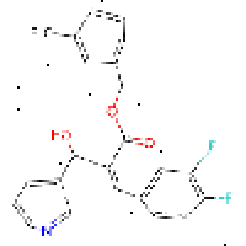 O=C(OCc1cccc(C(F)(F)F)c1)/C(=C\c1ccc(F)c(F)c1)C(O)c1cccnc1